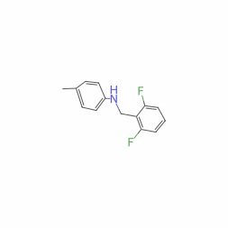 Cc1ccc(NCc2c(F)cccc2F)cc1